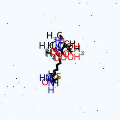 CCOCC1(C)C(C)(O)C(C)(CO)O[C@@](C)(OC(=O)CCCCC2SC[C@@H]3NC(=O)N[C@H]23)C1(C)NC(C)=O